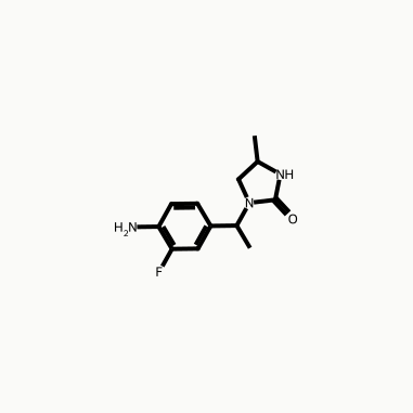 CC1CN(C(C)c2ccc(N)c(F)c2)C(=O)N1